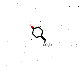 CCOC(=O)C=C1CCC(=O)CC1